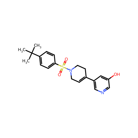 CC(C)(C)c1ccc(S(=O)(=O)N2CC=C(c3cncc(O)c3)CC2)cc1